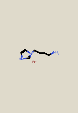 NCCCC[n+]1cc[nH]c1.[Br-]